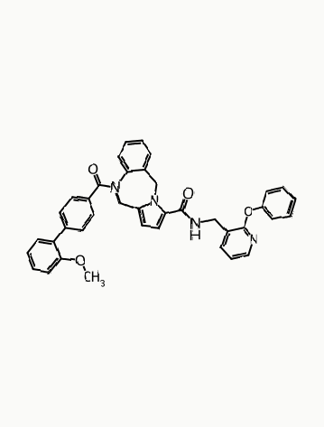 COc1ccccc1-c1ccc(C(=O)N2Cc3ccc(C(=O)NCc4cccnc4Oc4ccccc4)n3Cc3ccccc32)cc1